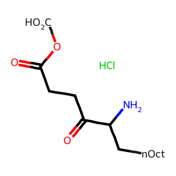 CCCCCCCCCC(N)C(=O)CCC(=O)OC(=O)O.Cl